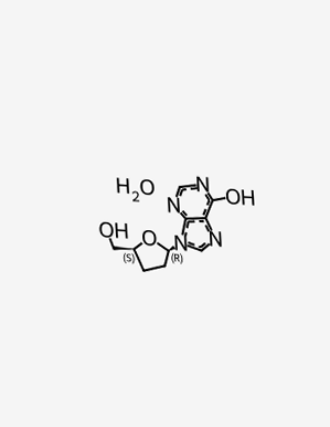 O.OC[C@@H]1CC[C@H](n2cnc3c(O)ncnc32)O1